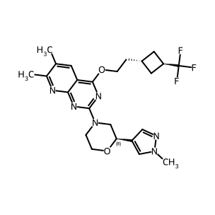 Cc1cc2c(OCC[C@H]3C[C@H](C(F)(F)F)C3)nc(N3CCO[C@H](c4cnn(C)c4)C3)nc2nc1C